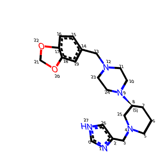 c1nc(CN2CCC[C@H](N3CCN(Cc4ccc5c(c4)OCO5)CC3)C2)c[nH]1